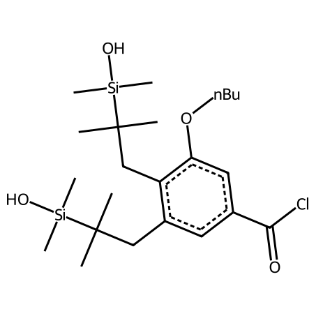 CCCCOc1cc(C(=O)Cl)cc(CC(C)(C)[Si](C)(C)O)c1CC(C)(C)[Si](C)(C)O